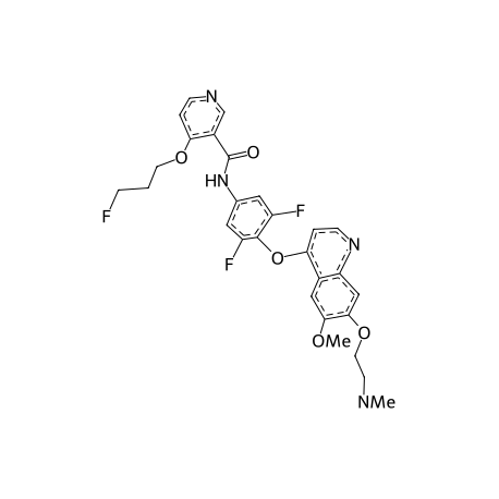 CNCCOc1cc2nccc(Oc3c(F)cc(NC(=O)c4cnccc4OCCCF)cc3F)c2cc1OC